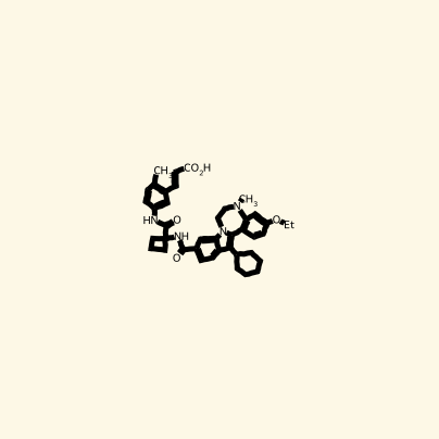 CCOc1ccc2c(c1)N(C)CCn1c-2c(C2CCCCC2)c2ccc(C(=O)NC3(C(=O)Nc4ccc(C)c(/C=C/C(=O)O)c4)CCC3)cc21